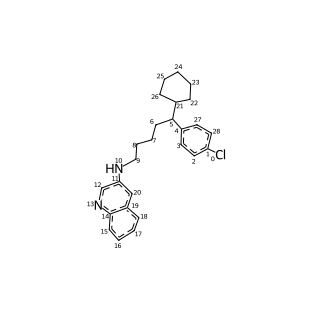 Clc1ccc(C(CCCCNc2cnc3ccccc3c2)C2CCCCC2)cc1